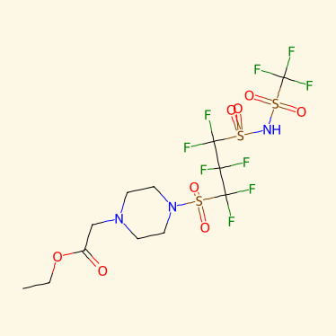 CCOC(=O)CN1CCN(S(=O)(=O)C(F)(F)C(F)(F)C(F)(F)S(=O)(=O)NS(=O)(=O)C(F)(F)F)CC1